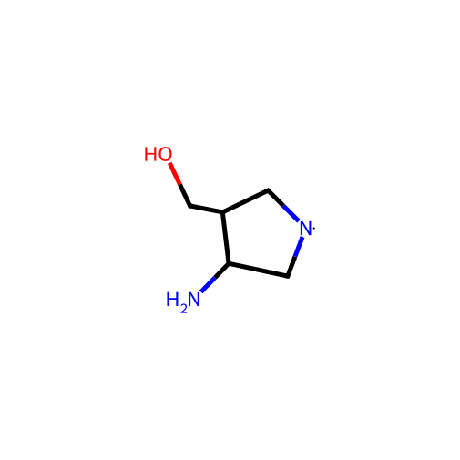 NC1C[N]CC1CO